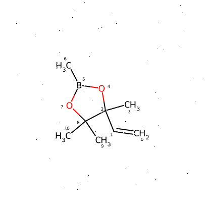 C=CC1(C)OB(C)OC1(C)C